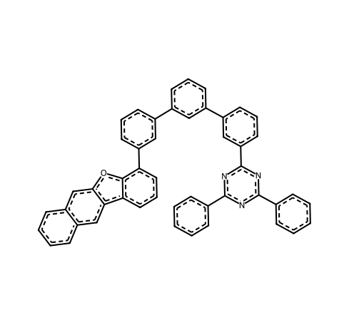 c1ccc(-c2nc(-c3ccccc3)nc(-c3cccc(-c4cccc(-c5cccc(-c6cccc7c6oc6cc8ccccc8cc67)c5)c4)c3)n2)cc1